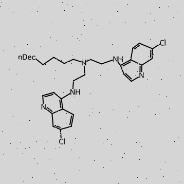 CCCCCCCCCCCCCCN(CCNc1ccnc2cc(Cl)ccc12)CCNc1ccnc2cc(Cl)ccc12